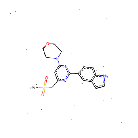 CCCS(=O)(=O)Cc1cc(N2CCOCC2)nc(-c2ccc3[nH]ccc3c2)n1